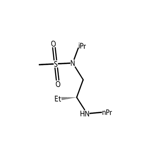 CCCN[C@H](CC)CN(C(C)C)S(C)(=O)=O